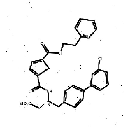 CCOC(=O)C[C@@H](Cc1ccc(-c2cccc(Cl)c2)cc1)NC(=O)C1=CC=C(C(=O)OCCc2ccccc2)C1